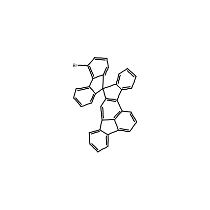 Brc1cccc2c1-c1ccccc1C21c2ccccc2-c2c1cc1c3c(cccc23)-c2ccccc2-1